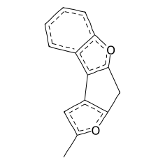 Cc1cc2c(o1)Cc1oc3ccccc3c1-2